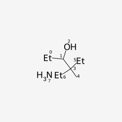 CCC(O)C(C)(CC)CC.N